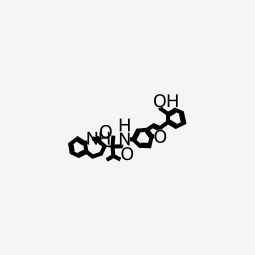 CC(C)C(C)(C(=O)Nc1ccc2oc(-c3ccccc3CO)cc2c1)[C@H]1CCc2ccccc2NC1=O